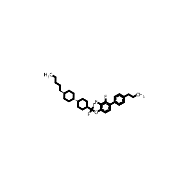 CCCCC[C@H]1CC[C@H](C2CCC(C(F)(F)Oc3ccc(-c4ccc(CCC)cc4)c(F)c3F)CC2)CC1